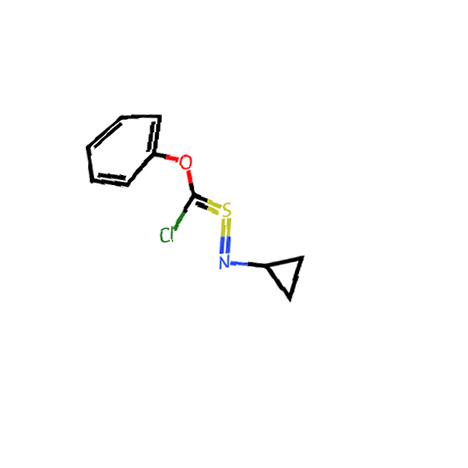 ClC(Oc1ccccc1)=S=NC1CC1